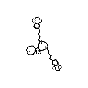 OC1CN(CCCCc2ccc3c(c2)OCCO3)CCCN(CCCCc2ccc3c(c2)OCCO3)CC1C1CCCCCCCC1